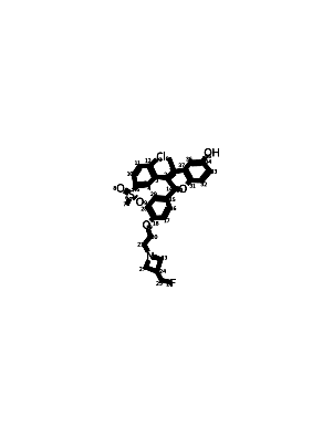 CC1=C(c2cc(S(C)(=O)=O)ccc2Cl)C(c2ccc(OCCN3CC(CF)C3)cc2)Oc2ccc(O)cc21